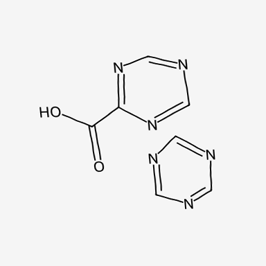 O=C(O)c1ncncn1.c1ncncn1